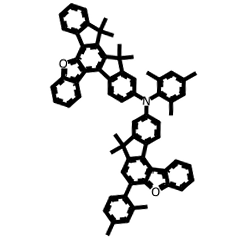 Cc1ccc(-c2cc3c(c4c2oc2ccccc24)-c2ccc(N(c4ccc5c(c4)C(C)(C)c4c6c(c7oc8ccccc8c7c4-5)-c4ccccc4C6(C)C)c4c(C)cc(C)cc4C)cc2C3(C)C)c(C)c1